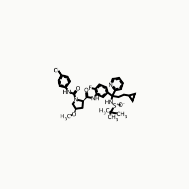 CO[C@@H]1C[C@H](C(=O)Nc2cc(C(CCC3CC3)(N[S+]([O-])C(C)(C)C)c3ccccn3)ccc2F)N(C(=O)Nc2ccc(Cl)cc2)C1